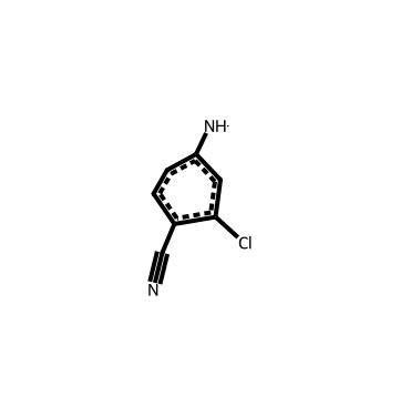 N#Cc1ccc([NH])cc1Cl